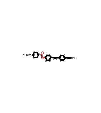 CCCCC#Cc1ccc(C#Cc2ccc(OC(=O)[C@H]3CC[C@H](CCCCCC)CC3)cc2)cc1